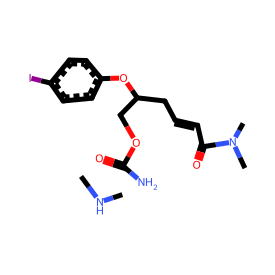 CN(C)C(=O)C=CCC(COC(N)=O)Oc1ccc(I)cc1.CNC